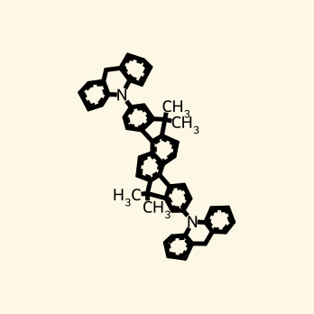 CC1(C)c2cc(N3c4ccccc4Cc4ccccc43)ccc2-c2c1ccc1c3c(ccc21)C(C)(C)c1cc(N2c4ccccc4Cc4ccccc42)ccc1-3